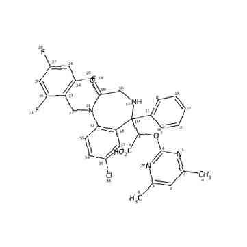 Cc1cc(C)nc(OC(C(=O)O)C2(c3ccccc3)NCC(=O)N(Cc3c(F)cc(F)cc3F)c3ccc(Cl)cc32)n1